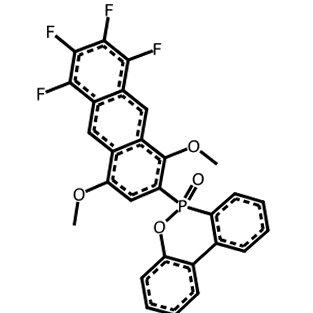 COc1cc(P2(=O)Oc3ccccc3-c3ccccc32)c(OC)c2cc3c(F)c(F)c(F)c(F)c3cc12